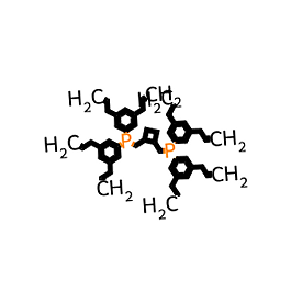 C=CCc1cc(CC=C)cc(P(CC2CCC2CP(c2cc(CC=C)cc(CC=C)c2)c2cc(CC=C)cc(CC=C)c2)c2cc(CC=C)cc(CC=C)c2)c1